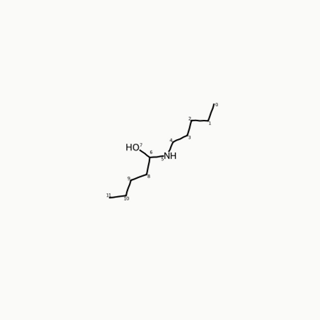 CCCCCNC(O)CCCC